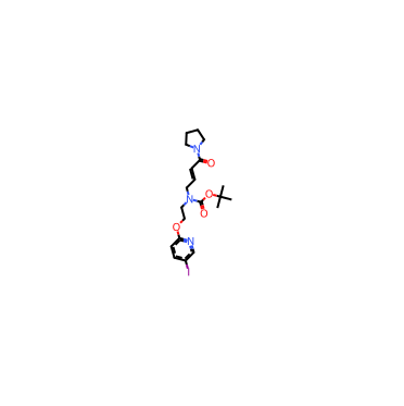 CC(C)(C)OC(=O)N(C/C=C/C(=O)N1CCCC1)CCOc1ccc(I)cn1